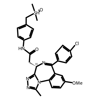 COc1ccc2c(c1)C(c1ccc(Cl)cc1)=N[C@@H](CC(=O)Nc1ccc(C[SH](C)(C)=O)cc1)c1nnc(C)n1-2